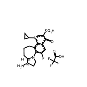 N[C@@H]1CCN2c3c(F)cc4c(=O)c(C(=O)O)cn(C5CC5)c4c3CCC[C@H]12.O=C(O)C(F)(F)F